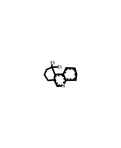 CCC1(CC)CCCc2cnc3ccccc3c21